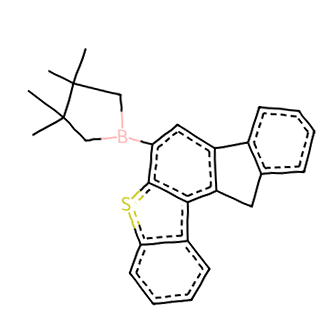 CC1(C)CB(c2cc3c(c4c2sc2ccccc24)Cc2ccccc2-3)CC1(C)C